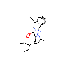 CCc1ccccc1-c1nn2c(C)cc(C(CC)CC)c2c(=O)n1C